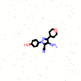 N#Cc1c(N)c(C2CCOCC2)nn1-c1ccc(O)cc1